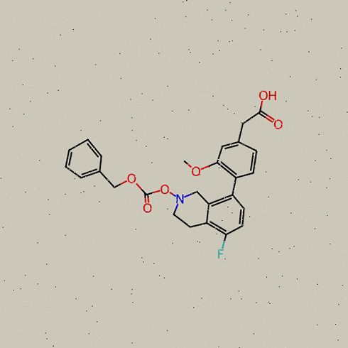 COc1cc(CC(=O)O)ccc1-c1ccc(F)c2c1CN(OC(=O)OCc1ccccc1)CC2